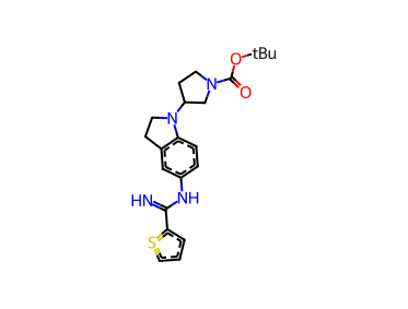 CC(C)(C)OC(=O)N1CCC(N2CCc3cc(NC(=N)c4cccs4)ccc32)C1